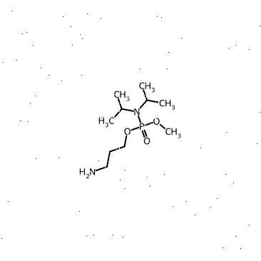 COP(=O)(OCCCN)N(C(C)C)C(C)C